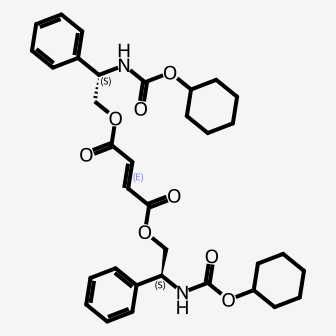 O=C(/C=C/C(=O)OC[C@@H](NC(=O)OC1CCCCC1)c1ccccc1)OC[C@@H](NC(=O)OC1CCCCC1)c1ccccc1